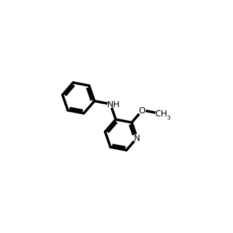 COc1ncccc1Nc1ccccc1